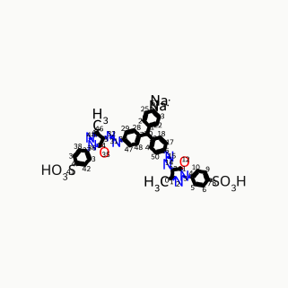 CC1=NN(c2ccc(S(=O)(=O)O)cc2)C(=O)C1N=Nc1ccc(C(c2ccccc2)c2ccc(N=NC3C(=O)N(c4ccc(S(=O)(=O)O)cc4)N=C3C)cc2)cc1.[Na].[Na]